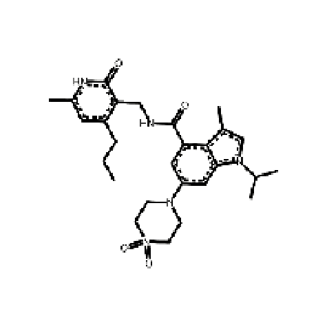 CCCc1cc(C)[nH]c(=O)c1CNC(=O)c1cc(N2CCS(=O)(=O)CC2)cc2c1c(C)cn2C(C)C